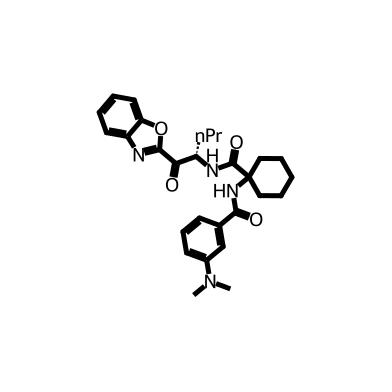 CCC[C@H](NC(=O)C1(NC(=O)c2cccc(N(C)C)c2)CCCCC1)C(=O)c1nc2ccccc2o1